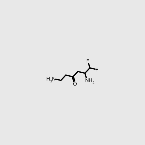 NCCC(=O)CC(N)C(F)F